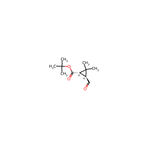 CC(C)(C)OC(=O)[C@H]1[C@H](C=O)C1(C)C